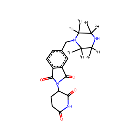 [2H]C1([2H])NC([2H])([2H])C([2H])([2H])N(Cc2ccc3c(c2)C(=O)N(C2CCC(=O)NC2=O)C3=O)C1([2H])[2H]